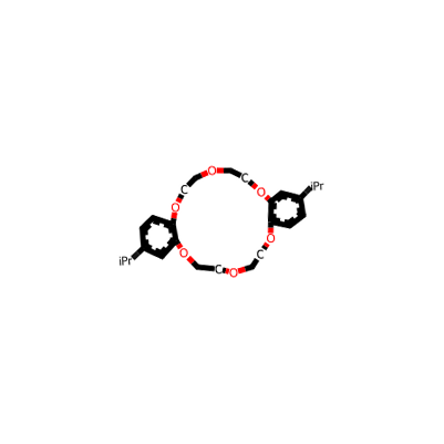 CC(C)c1ccc2c(c1)OCCOCCOc1ccc(C(C)C)cc1OCCOCCO2